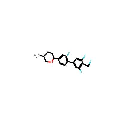 CC1CCC(c2ccc(-c3cc(F)c(CF)c(F)c3)c(F)c2)OC1